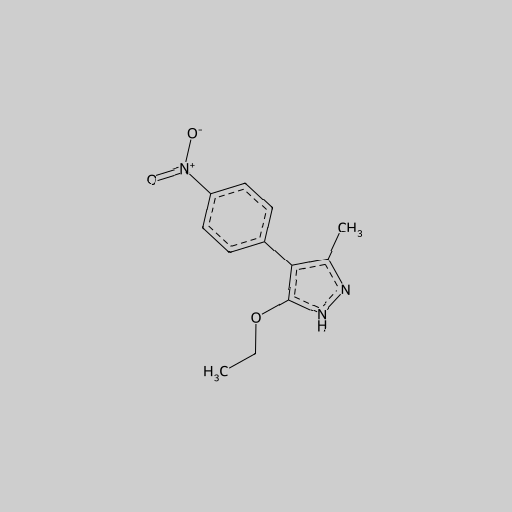 CCOc1[nH]nc(C)c1-c1ccc([N+](=O)[O-])cc1